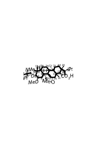 CN[C@](C)(CO[C@H]1[C@H](OC)C[C@]2(COC)C3=CC[C@@]4(C)[C@H](C(=O)O)[C@@](C)([C@H](C)C(C)C)CC[C@]4(C)[C@H]3CC[C@H]2C1(C)C)C(C)C